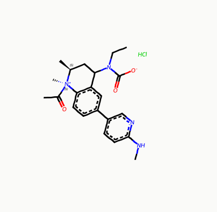 CCN(C(=O)[O-])C1C[C@H](C)[N@+](C)(C(C)=O)c2ccc(-c3ccc(NC)nc3)cc21.Cl